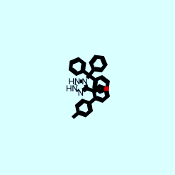 Cc1ccc(-c2ccccc2C2=NNNN2C(c2ccccc2)(c2ccccc2)c2ccccc2)cc1